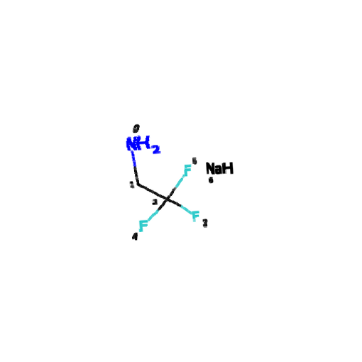 NCC(F)(F)F.[NaH]